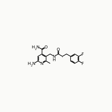 Cc1nc(N)cc(C(N)=O)c1CNC(=O)[CH]Cc1ccc(F)c(F)c1